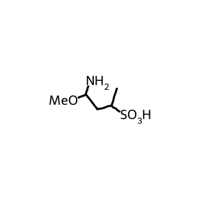 COC(N)CC(C)S(=O)(=O)O